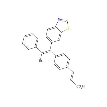 CCC(=C(c1ccc(C=CC(=O)O)cc1)c1ccc2ncsc2c1)c1ccccc1